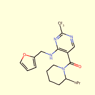 CCCC1CCCCN1C(=O)c1cnc(C(F)(F)F)nc1NCc1ccco1